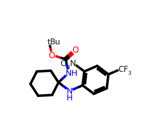 CC(C)(C)OC(=O)NC1(Nc2ccc(C(F)(F)F)cc2[N+](=O)[O-])CCCCC1